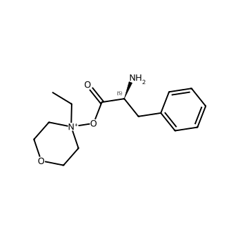 CC[N+]1(OC(=O)[C@@H](N)Cc2ccccc2)CCOCC1